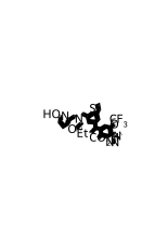 CC[C@@H]1CN(Cc2cc(C(CC(=O)O)c3cc(OC(F)(F)F)c4c(nnn4C)c3C)cc3ccsc23)Cc2nc(O)ccc2O1